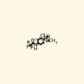 COP(=O)(Cl)N1CCC(NC(=O)C(F)(F)F)CC1